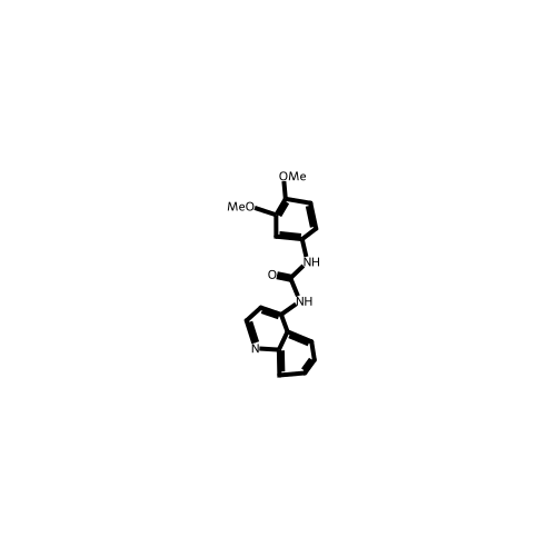 COc1ccc(NC(=O)Nc2ccnc3ccccc23)cc1OC